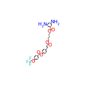 Nc1cc(N)cc(C(=O)OCCCCCOC(=O)/C=C/c2ccc(OC(=O)c3ccc(OC(F)C(F)F)cc3)cc2)c1